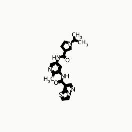 Cc1ncc(NC(=O)C2CCN(C(C)C)C2)cc1NC(=O)c1cnn2ccsc12